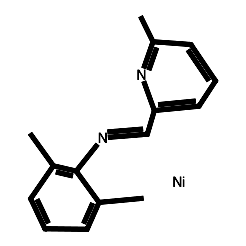 Cc1cccc(C=Nc2c(C)cccc2C)n1.[Ni]